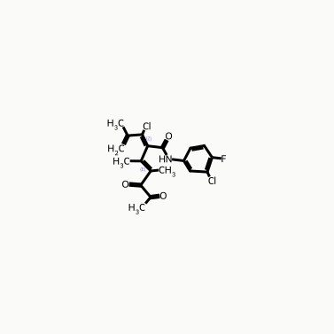 C=C(C)/C(Cl)=C(C(=O)Nc1ccc(F)c(Cl)c1)\C(C)=C(/C)C(=O)C(C)=O